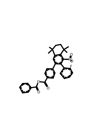 CC1(C)CCC(C)(C)c2c1cc(-c1ccc(C(=O)OC(=O)c3ccccc3)cc1)c(-c1ccccc1F)c2[N+](=O)[O-]